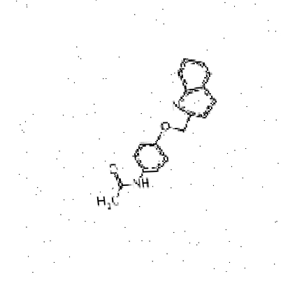 CC(=O)Nc1ccc(OCc2ccc3ccccc3n2)cc1